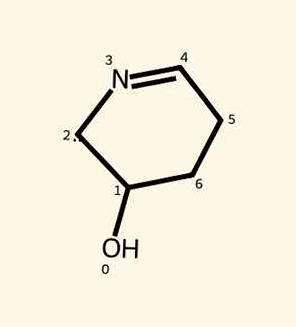 OC1[C]N=CCC1